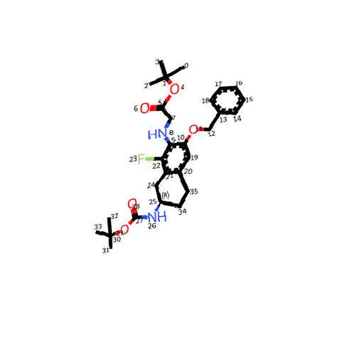 CC(C)(C)OC(=O)CNc1c(OCc2ccccc2)cc2c(c1F)C[C@H](NC(=O)OC(C)(C)C)CC2